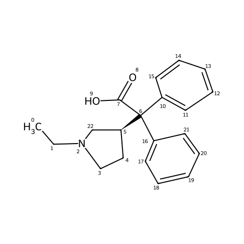 CCN1CC[C@H](C(C(=O)O)(c2ccccc2)c2ccccc2)C1